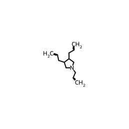 C=CCC1CN(CC=C)CC1CC=C